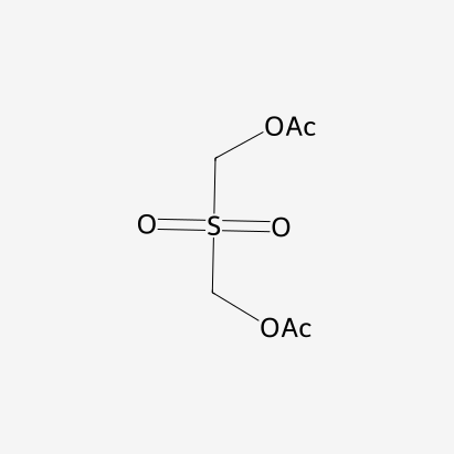 CC(=O)OCS(=O)(=O)COC(C)=O